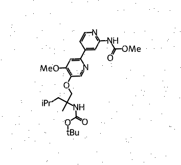 COC(=O)Nc1cc(-c2cc(OC)c(OCC(C)(CC(C)C)NC(=O)OC(C)(C)C)cn2)ccn1